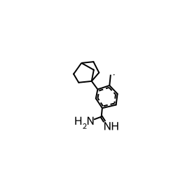 [CH2]c1ccc(C(=N)N)cc1C12CCC(CC1)C2